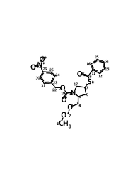 COCOC[C@@H]1C[C@H](SC(=O)c2ccccc2)CN1C(=O)OCc1ccc([N+](=O)[O-])cc1